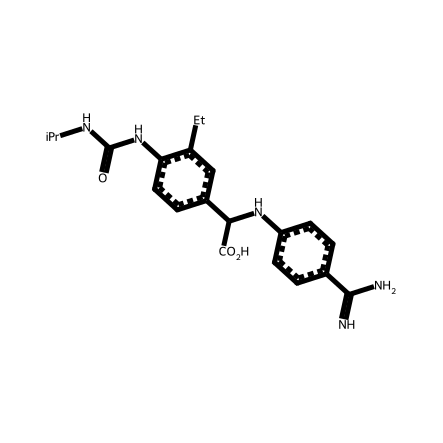 CCc1cc(C(Nc2ccc(C(=N)N)cc2)C(=O)O)ccc1NC(=O)NC(C)C